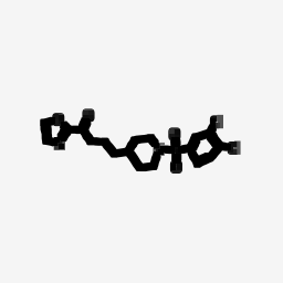 O=C(CCCC1CCN(S(=O)(=O)c2ccc(Cl)c(Cl)c2)CC1)c1ncco1